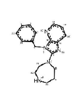 c1ccc(Cn2c(N3CCCNCC3)nc3cccnc32)cc1